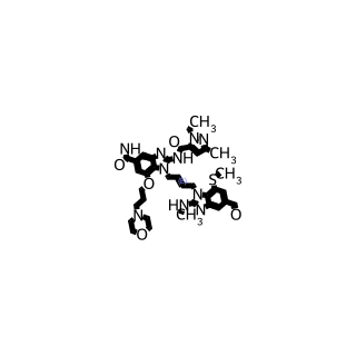 CCn1nc(C)cc1C(=O)Nc1nc2cc(C(N)=O)cc(OCCCN3CCOCC3)c2n1C/C=C/Cn1c(NC)nc2cc(C=O)cc(SC)c21